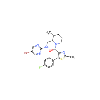 Cc1nc(C(=O)N2CCCC(C)C2CNc2ncc(Br)cn2)c(-c2ccc(F)cc2)s1